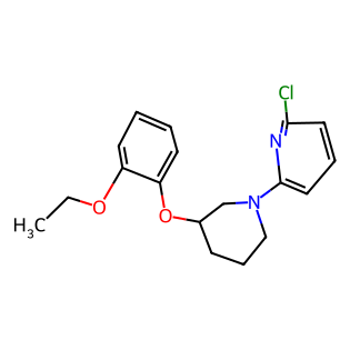 CCOc1ccccc1OC1CCCN(c2cccc(Cl)n2)C1